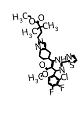 CCOC(=O)C(C)(C)CCn1cc2c(n1)CCC(C1=C(C(=O)OC)C(c3ccc(F)c(F)c3Cl)N=C(c3nccs3)N1)C2